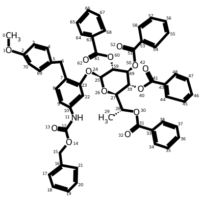 COc1ccc(Cc2ccc(NC(=O)OCc3ccccc3)cc2O[C@@H]2O[C@H]([C@@H](C)OC(=O)c3ccccc3)[C@@H](OC(=O)c3ccccc3)[C@H](OC(=O)c3ccccc3)[C@H]2OC(=O)c2ccccc2)cc1